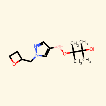 CC(C)(O)C(C)(C)OBc1cnn(CC2CCO2)c1